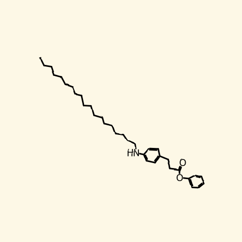 CCCCCCCCCCCCCCCCCCCNc1ccc(CCC(=O)Oc2ccccc2)cc1